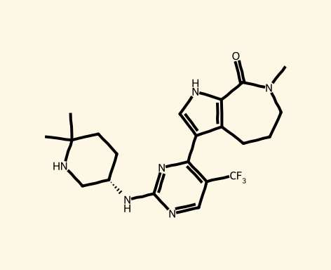 CN1CCCc2c(-c3nc(N[C@H]4CCC(C)(C)NC4)ncc3C(F)(F)F)c[nH]c2C1=O